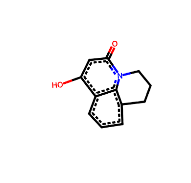 O=c1cc(O)c2cccc3c2n1CCC3